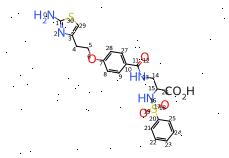 Nc1nc(CCOc2ccc(C(=O)NCC(NS(=O)(=O)c3ccccc3)C(=O)O)cc2)cs1